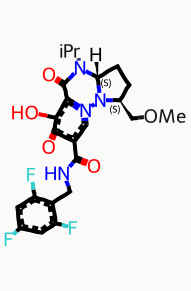 COC[C@@H]1CC[C@H]2N(C(C)C)C(=O)c3c(O)c(=O)c(C(=O)NCc4c(F)cc(F)cc4F)cn3N12